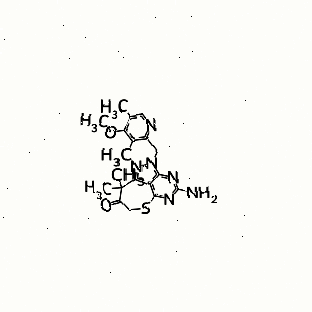 COc1c(C)cnc(Cn2nc3c4c(nc(N)nc42)SCC(=O)C3(C)C)c1C